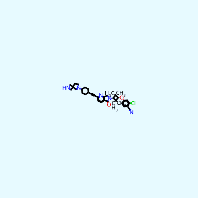 CC1(C)[C@H](Oc2ccc(C#N)c(Cl)c2)C(C)(C)[C@H]1N1Cc2nc(C#CC3CCC(N4CCC5(CNC5)C4)CC3)ccc2C1=O